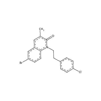 Cc1cc2cc(Br)ccc2n(CCc2ccc(Cl)cc2)c1=O